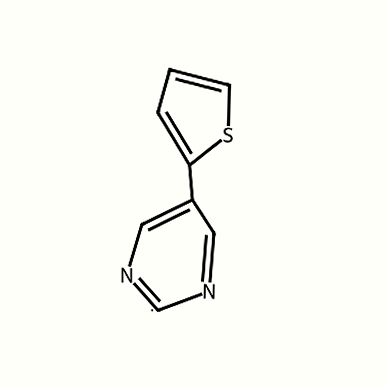 [c]1ncc(-c2cccs2)cn1